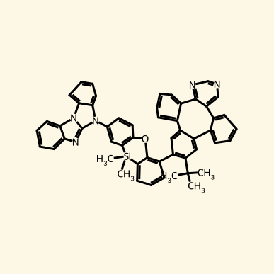 CC(C)(C)c1cc2c(cc1-c1cccc3c1Oc1ccc(-n4c5ccccc5n5c6ccccc6nc45)cc1[Si]3(C)C)-c1ccccc1-c1ncncc1-c1ccccc1-2